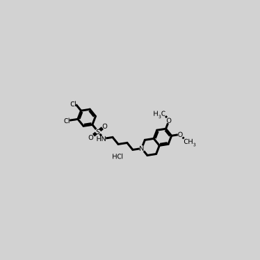 COc1cc2c(cc1OC)CN(CCCCNS(=O)(=O)c1ccc(Cl)c(Cl)c1)CC2.Cl